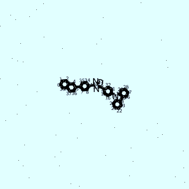 c1ccc2cc(-c3ccc(-c4noc(-c5ccc(-n6c7ccccc7c7ccccc76)cc5)n4)cc3)ccc2c1